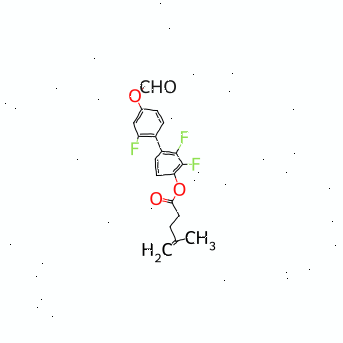 C=C(C)CCC(=O)Oc1ccc(-c2ccc(OC=O)cc2F)c(F)c1F